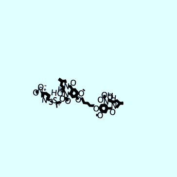 C=C1C[C@H]2C(=O)N(C(=O)O)c3cc(OCCCCCOc4cc5c(cc4OC)C(=O)N4CC(=C)C[C@H]4[C@H](O)N5C(=O)OC[C@@H](C)SSc4ccc([N+](=O)[O-])cn4)c(OC)cc3C(=O)N2C1